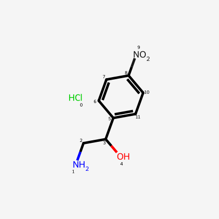 Cl.NCC(O)c1ccc([N+](=O)[O-])cc1